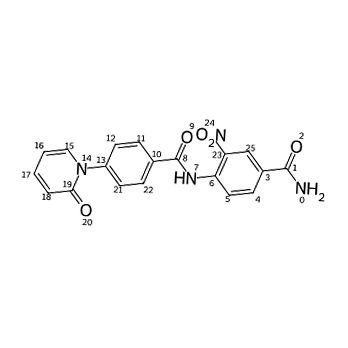 NC(=O)c1ccc(NC(=O)c2ccc(-n3ccccc3=O)cc2)c([N+](=O)[O-])c1